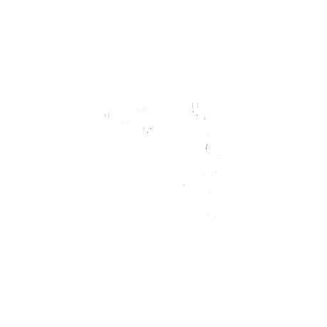 CC(C)(C)OC(=O)N[C@H]1CC[C@H](N[C@@H]2C[C@H]2c2ccc(-c3cccc(C(F)(F)F)c3)cc2)CC1